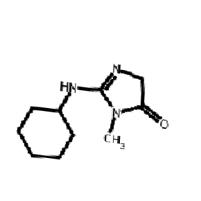 CN1C(=O)CN=C1NC1CCCCC1